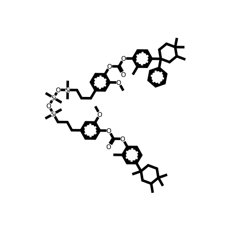 COc1cc(CCC[Si](C)(C)O[Si](C)(C)O[Si](C)(C)CCCc2ccc(OC(=O)Oc3ccc(C4(c5ccccc5)CCC(C)(C)C(C)C4)cc3C)c(OC)c2)ccc1OC(=O)Oc1ccc(C2(C)CCC(C)(C)C(C)C2)cc1C